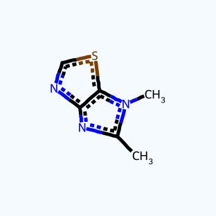 Cc1nc2ncsc2n1C